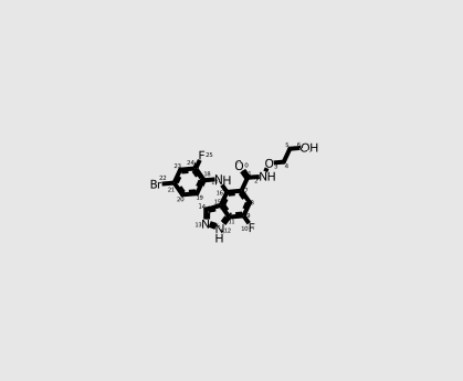 O=C(NOCCO)c1cc(F)c2[nH]ncc2c1Nc1ccc(Br)cc1F